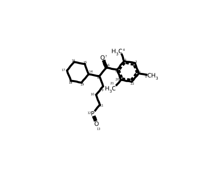 Cc1cc(C)c(C(=O)C(CCCP=O)C2CCCCC2)c(C)c1